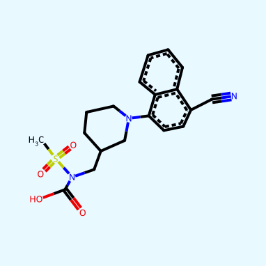 CS(=O)(=O)N(CC1CCCN(c2ccc(C#N)c3ccccc23)C1)C(=O)O